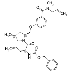 C=CC[C@H](NC(=O)OCc1ccccc1)C(=O)N1C[C@@H](C)C[C@H]1COc1cccc(C(=O)N(C)CC=C)c1